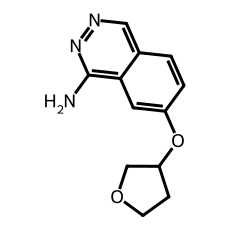 Nc1nncc2ccc(OC3CCOC3)cc12